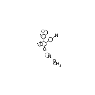 COCCN1CCCC(COc2cc(-c3ccc(C#N)cc3)c(-c3cnc4c(c3)CCCO4)n3cncc23)C1